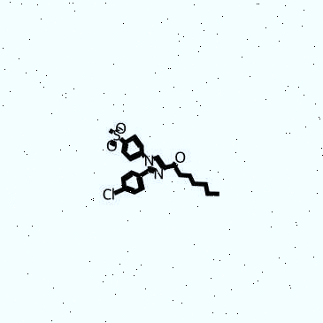 CCCCCCC(=O)c1cn(-c2ccc(S(C)(=O)=O)cc2)c(-c2ccc(Cl)cc2)n1